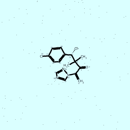 C=C(C(=O)C(C)(C)[C@@H](Cl)c1ccc(Cl)cc1)n1cncn1